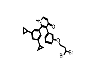 Cn1ccc(=O)c(-c2cccc(OCCC(Br)Br)c2)c1-c1cc(C2CC2)cc(C2CC2)c1